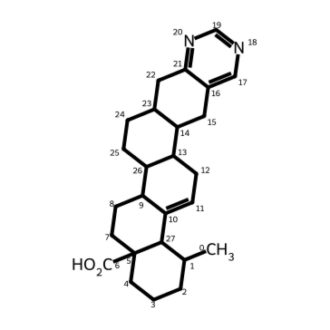 CC1CCCC2(C(=O)O)CCC3C(=CCC4C5Cc6cncnc6CC5CCC34)C12